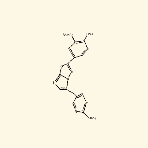 COc1ncc(-c2cnc3oc(-c4ccc(OC)c(OC)c4)nn23)cn1